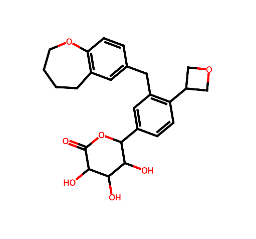 O=C1OC(c2ccc(C3COC3)c(Cc3ccc4c(c3)CCCCO4)c2)C(O)C(O)C1O